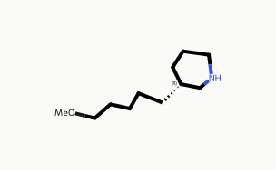 COCCCCC[C@@H]1CCCNC1